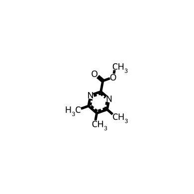 COC(=O)c1nc(C)c(C)c(C)n1